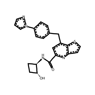 O=C(N[C@@H]1CC[C@H]1O)c1cc(Cc2ccc(-n3cccn3)cc2)c2sccc2n1